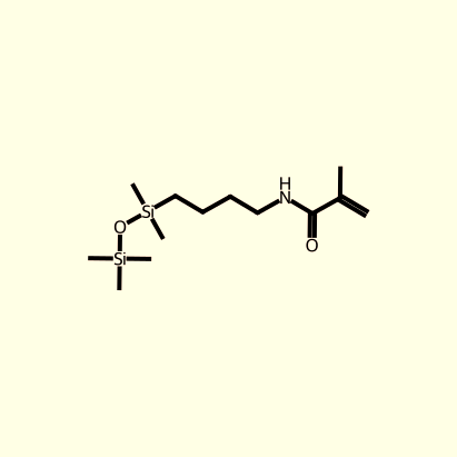 C=C(C)C(=O)NCCCC[Si](C)(C)O[Si](C)(C)C